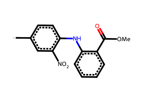 [CH2]c1ccc(Nc2ccccc2C(=O)OC)c([N+](=O)[O-])c1